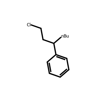 CCCCC(CCCl)c1ccccc1